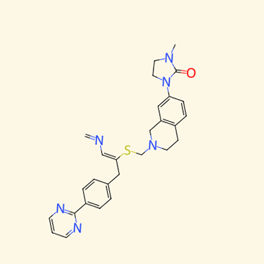 C=N/C=C(/Cc1ccc(-c2ncccn2)cc1)SCN1CCc2ccc(N3CCN(C)C3=O)cc2C1